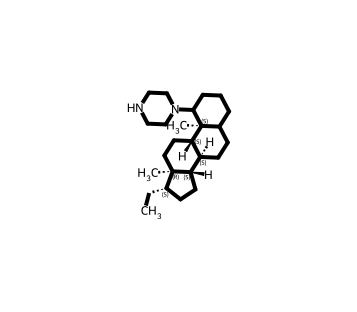 CC[C@H]1CC[C@H]2[C@@H]3CCC4CCCC(N5CCNCC5)[C@]4(C)[C@H]3CC[C@]12C